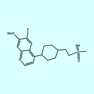 COc1cc2nccc(N3CCC(CCS(C)(=N)=O)CC3)c2cc1F